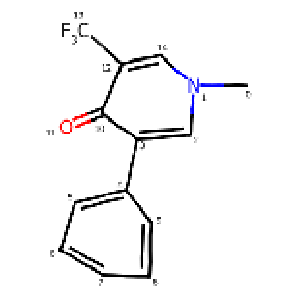 Cn1cc(-c2ccccc2)c(=O)c(C(F)(F)F)c1